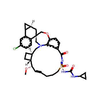 CO[C@H]1/C=C/CCC[S@@](=O)(NC(=O)NC2CC2)=NC(=O)c2ccc3c(c2)N(C[C@@H]2CC[C@H]21)C[C@]1(CO3)C[C@@H]2CC2c2cc(Cl)ccc21